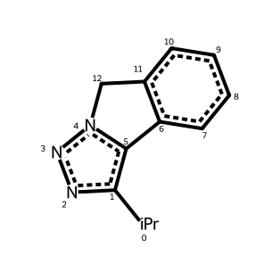 CC(C)c1nnn2c1-c1ccccc1C2